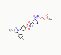 Cc1ccc(-c2cc(C(F)(F)F)nn2-c2ccc(S(=O)(=O)NC(=O)C3CCCN(/[N+]([O-])=N\OCOC(=O)C(C)(C)C)C3)cc2)cc1